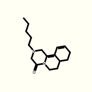 CCCCCN1CC(=O)N2CCC3CCC=CC3=C2C1